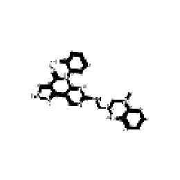 CN1C[C@H](CNc2ncc3c4n[nH]cc4c(=O)n(-c4ccccc4F)c3n2)Oc2ccccc21